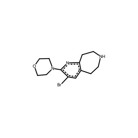 Brc1cc2c(nc1N1CCOCC1)CCNCC2